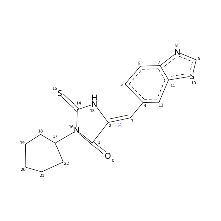 O=C1/C(=C/c2ccc3ncsc3c2)NC(=S)N1C1CCCCC1